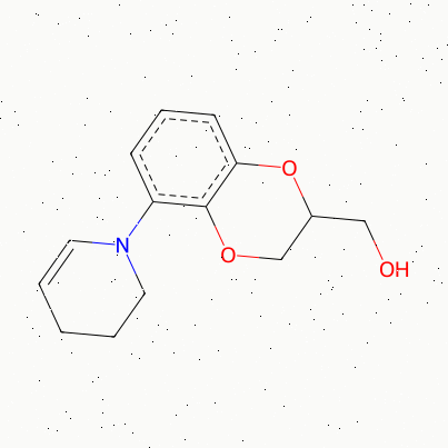 OCC1COc2c(cccc2N2C=CCCC2)O1